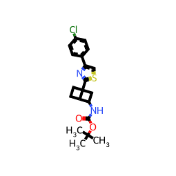 CC(C)(C)OC(=O)NC1CC2(c3nc(-c4ccc(Cl)cc4)cs3)CCC12